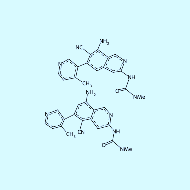 CNC(=O)Nc1cc2c(C#N)c(-c3cnccc3C)cc(N)c2cn1.CNC(=O)Nc1cc2cc(-c3cnccc3C)c(C#N)c(N)c2cn1